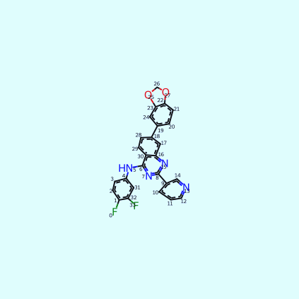 Fc1ccc(Nc2nc(-c3cccnc3)nc3cc(-c4ccc5c(c4)OCO5)ccc23)cc1F